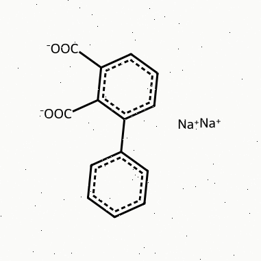 O=C([O-])c1cccc(-c2ccccc2)c1C(=O)[O-].[Na+].[Na+]